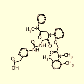 Cc1cccc(C)c1N(C)C(=O)COc1ccccc1N(CC(=O)N(C)c1ccccc1)C(=O)CNC(=O)Nc1cccc(CC(=O)O)c1